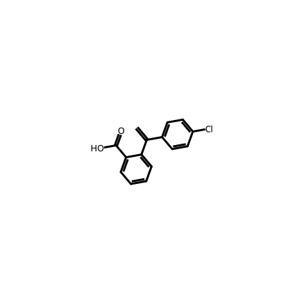 C=C(c1ccc(Cl)cc1)c1ccccc1C(=O)O